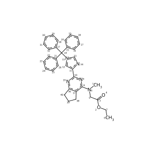 CCOC(=O)CN(C)c1nc(-c2cn(C(c3ccccc3)(c3ccccc3)c3ccccc3)cn2)nc2c1CCC2